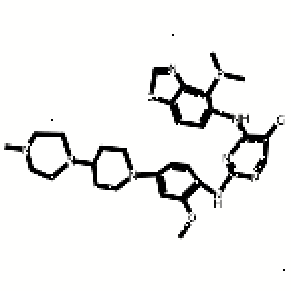 COc1cc(N2CCC(N3CCN(C)CC3)CC2)ccc1Nc1ncc(Cl)c(Nc2ccc3scnc3c2P(C)C)n1